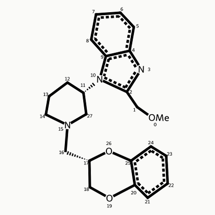 COCc1nc2ccccc2n1[C@H]1CCCN(C[C@H]2COc3ccccc3O2)C1